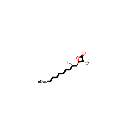 CCCCCCCCCCCCCCCCC[C@H](O)C[C@H]1OC(=O)[C@@H]1CC